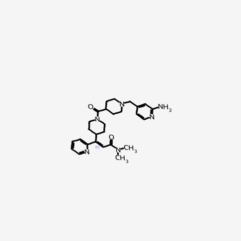 CN(C)C(=O)/C=C(/c1ccccn1)C1CCN(C(=O)C2CCN(Cc3ccnc(N)c3)CC2)CC1